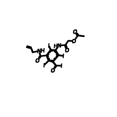 C=CCNC(=O)c1c(I)c(NC(=O)COC(C)=O)c(I)c(C(=O)I)c1I